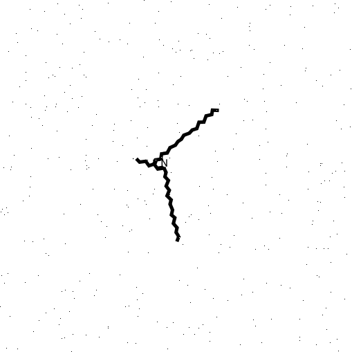 [CH2]CCCc1cc(CCCCCCCCCCCCCCCC)nc(CCCCCCCCCCCCCCCC)c1